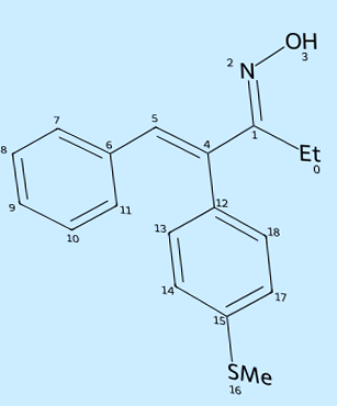 CCC(=NO)C(=Cc1ccccc1)c1ccc(SC)cc1